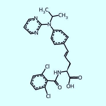 CC(C)N(c1ccc(/C=C/C[C@H](NC(=O)c2c(Cl)cccc2Cl)C(=O)O)cc1)c1ncccn1